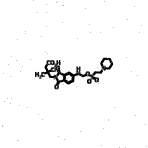 CC(C)(CC(=O)O)CN1C(=O)c2ccc(NCOS(=O)(=O)CCN3CCCCC3)cc2C1=O